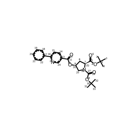 CC(C)(C)OC(=O)[C@@H]1C[C@H](OC(=O)c2ccc(-c3ccccc3)nc2)CN1C(=O)OC(C)(C)C